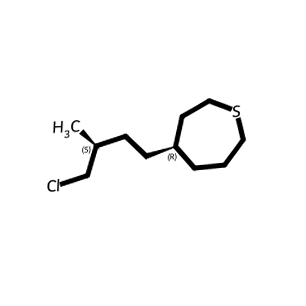 C[C@H](CCl)CC[C@@H]1CCCSCC1